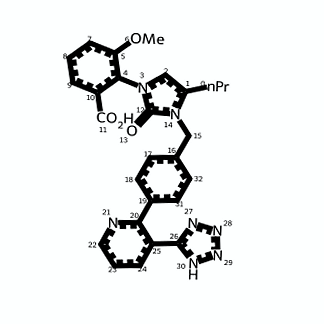 CCCc1cn(-c2c(OC)cccc2C(=O)O)c(=O)n1Cc1ccc(-c2ncccc2-c2nnn[nH]2)cc1